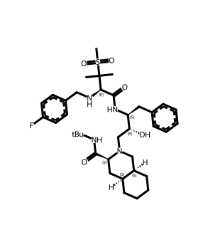 CC(C)(C)NC(=O)[C@@H]1C[C@@H]2CCCC[C@@H]2CN1C[C@@H](O)[C@H](Cc1ccccc1)NC(=O)[C@@H](NCc1ccc(F)cc1)C(C)(C)S(C)(=O)=O